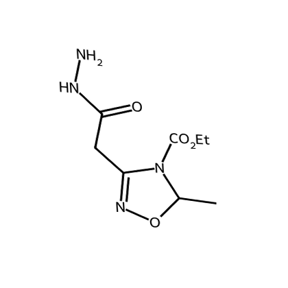 CCOC(=O)N1C(CC(=O)NN)=NOC1C